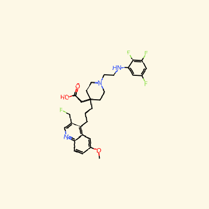 COc1ccc2ncc(CF)c(CCCC3(CC(=O)O)CCN(CCNc4cc(F)cc(F)c4F)CC3)c2c1